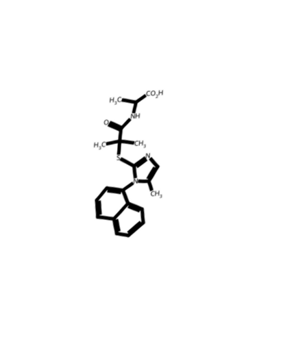 Cc1cnc(SC(C)(C)C(=O)NC(C)C(=O)O)n1-c1cccc2ccccc12